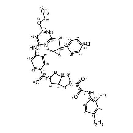 Cc1ccc(NC(=O)C(=O)N2CC3CN(C(=O)c4ccc(Nc5nc(CC6(c7ccc(Cl)cc7)CC6)nc(OCC(F)(F)F)n5)cc4)CC3C2)c(F)c1